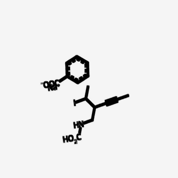 CC#CC(CNC(=O)O)C(C)I.O=C([O-])c1ccccc1.[Na+]